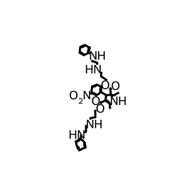 CC1=C(C(=O)OCCCNCCNc2ccccc2)C(c2cccc([N+](=O)[O-])c2)C(C(=O)OCCCNCCNc2ccccc2)=C(C)N1